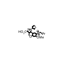 COc1cc2c(cc1S(=O)(=O)CC(C)C)-c1c(c(C(=O)O)nn1-c1ccsc1)CO2